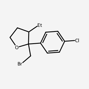 CCC1CCOC1(CBr)c1ccc(Cl)cc1